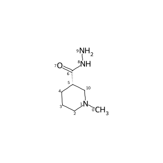 CN1CCC[C@H](C(=O)NN)C1